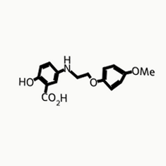 COc1ccc(OCCNc2ccc(O)c(C(=O)O)c2)cc1